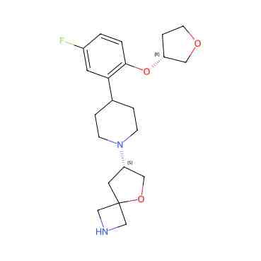 Fc1ccc(O[C@@H]2CCOC2)c(C2CCN([C@@H]3COC4(CNC4)C3)CC2)c1